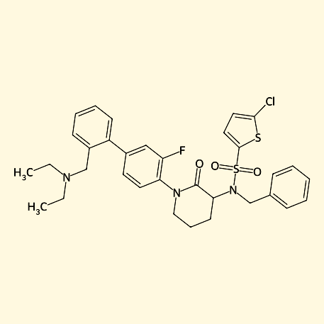 CCN(CC)Cc1ccccc1-c1ccc(N2CCCC(N(Cc3ccccc3)S(=O)(=O)c3ccc(Cl)s3)C2=O)c(F)c1